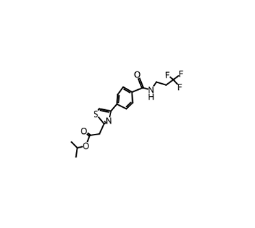 CC(C)OC(=O)Cc1nc(-c2ccc(C(=O)NCCC(F)(F)F)cc2)cs1